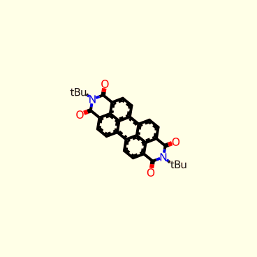 CC(C)(C)N1C(=O)c2ccc3c4ccc5c6c(ccc(c7ccc(c2c37)C1=O)c64)C(=O)N(C(C)(C)C)C5=O